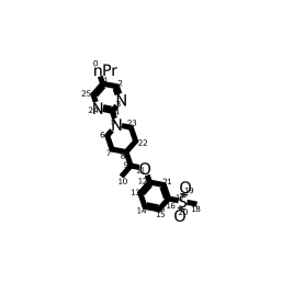 CCCc1cnc(N2CCC(C(C)Oc3cc[c]c(S(C)(=O)=O)c3)CC2)nc1